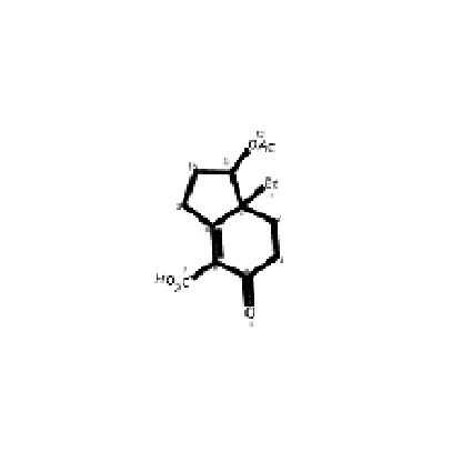 CCC12CCC(=O)C(C(=O)O)=C1CCC2OC(C)=O